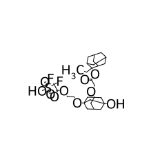 CCC1(OC(=O)COC23CC4CC(O)(CC(OCCOC(=O)C(F)(F)S(=O)(=O)O)(C4)C2)C3)C2CC3CC(C2)CC1C3